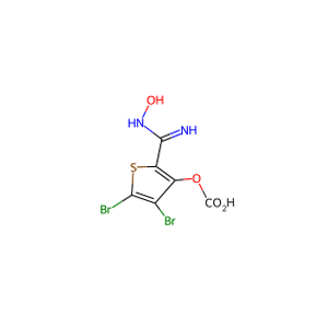 N=C(NO)c1sc(Br)c(Br)c1OC(=O)O